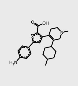 CC1CCC(C2=C(c3cc(-c4ccc(N)cc4)sc3C(=O)O)CCN(C)C2)CC1